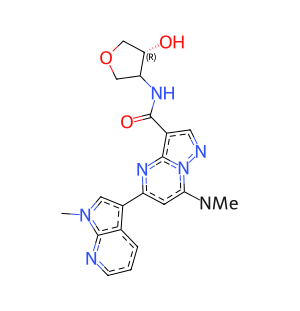 CNc1cc(-c2cn(C)c3ncccc23)nc2c(C(=O)NC3COC[C@@H]3O)cnn12